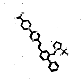 O=C(O)C1CCN(c2cnc(/C=C/c3ccc(-c4ccccc4)c(CN4CCC[C@H]4C(F)(F)F)c3)cn2)CC1